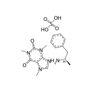 C[C@@H](N)Cc1ccccc1.Cn1c(=O)c2c(ncn2C)n(C)c1=O.O=S(=O)(O)O